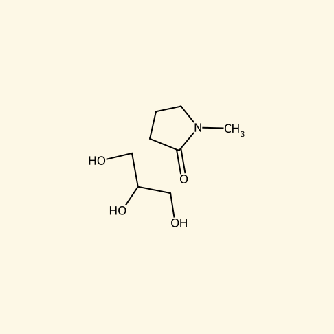 CN1CCCC1=O.OCC(O)CO